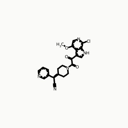 COc1cnc(Cl)c2[nH]cc(C(=O)C(=O)N3CCC(=C(C#N)c4cccnc4)CC3)c12